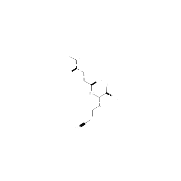 N#CSCCC(NC(=O)CCC(=O)CN)C(=O)O